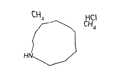 C.C.C1CCCNCCC1.Cl